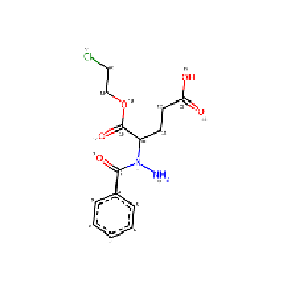 NN(C(=O)c1ccccc1)C(CCC(=O)O)C(=O)OCCCl